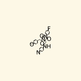 COc1ccc(CCN2C(=O)N(c3ccc(F)cc3)C(=O)C2CC(=O)Nc2ccc(N(C)C)cc2)cc1